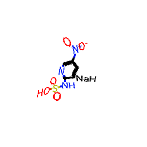 O=[N+]([O-])c1ccc(NS(=O)(=O)O)nc1.[NaH]